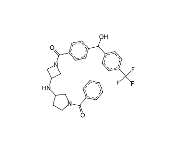 O=C(c1ccccc1)N1CCC(NC2CN(C(=O)c3ccc(C(O)c4ccc(C(F)(F)F)cc4)cc3)C2)C1